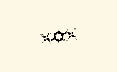 O=S(F)(F)=Nc1ccc(N=S(=O)(F)F)cc1